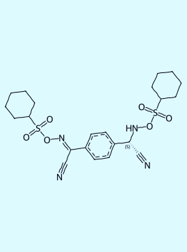 N#CC(=NOS(=O)(=O)C1CCCCC1)c1ccc([C@@H](C#N)NOS(=O)(=O)C2CCCCC2)cc1